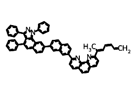 C=C/C=C\C=C(/C)c1ccc2ccc3ccc(-c4ccc5ccc(-c6ccc7cc(-c8ccccc8)c8c(-c9ccccc9)nn(-c9ccccc9)c8c7c6)cc5c4)nc3c2n1